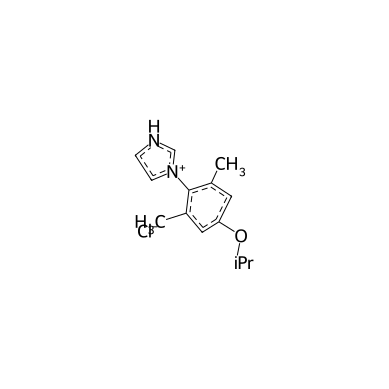 Cc1cc(OC(C)C)cc(C)c1-[n+]1cc[nH]c1.[Cl-]